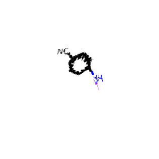 N#Cc1ccc(NI)cc1